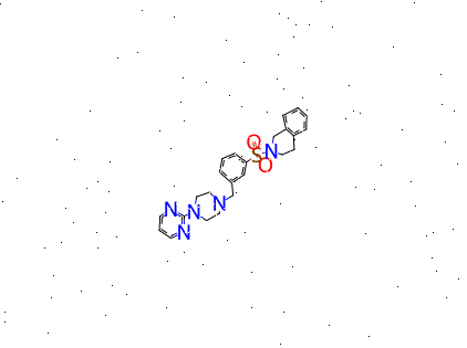 O=S(=O)(c1cccc(CN2CCN(c3ncccn3)CC2)c1)N1CCc2ccccc2C1